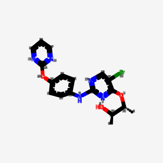 C[C@@H](O)[C@@H](C)Oc1nc(Nc2ccc(Oc3ncccn3)cc2)ncc1Br